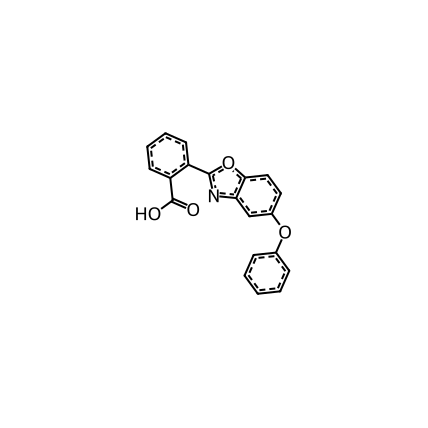 O=C(O)c1ccccc1-c1nc2cc(Oc3ccccc3)ccc2o1